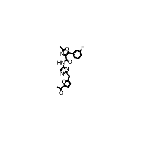 CC(=O)c1ccc(Cn2ncc(NC(=O)c3nc(C)oc3-c3cccc(F)c3)n2)o1